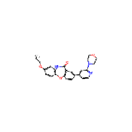 O=C1Nc2cc(OCCC(F)(F)F)ccc2Oc2ccc(-c3ccnc(N4CCOCC4)c3)cc21